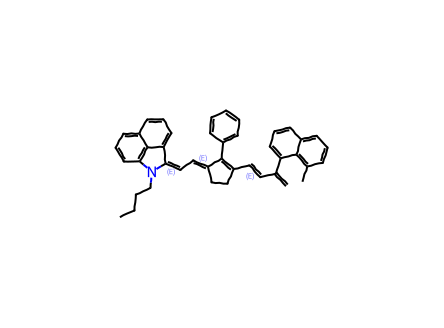 C=C(/C=C/C1=C(c2ccccc2)C(=C/C=c2\c3cccc4cccc(c43)n2CCCC)/CC1)c1cccc2cccc(C)c12